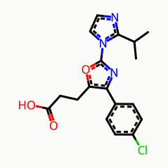 CC(C)c1nccn1-c1nc(-c2ccc(Cl)cc2)c(CCC(=O)O)o1